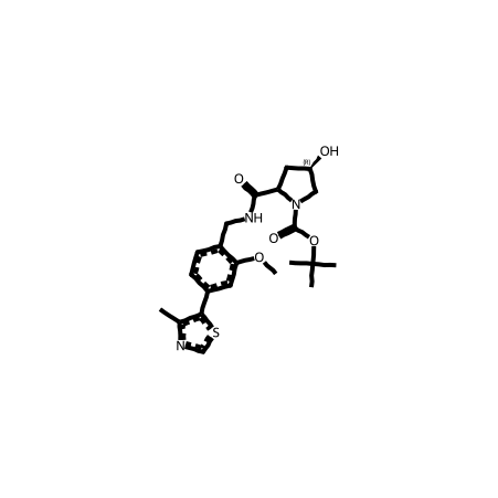 COc1cc(-c2scnc2C)ccc1CNC(=O)C1C[C@@H](O)CN1C(=O)OC(C)(C)C